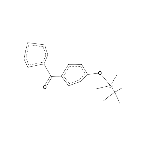 CC(C)(C)[Si](C)(C)Oc1ccc(C(=O)c2ccccc2)cc1